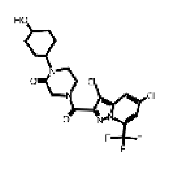 O=C(c1nn2c(C(F)(F)F)cc(Cl)cc2c1Cl)N1CCN(C2CCC(O)CC2)C(=O)C1